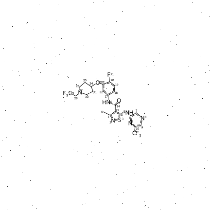 Cc1nsc(Nc2cncc(C(F)(F)F)n2)c1C(=O)Nc1ccc(F)c(OC2CCN(CC(F)(F)F)CC2)c1